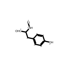 CCNC([C]=O)Cc1ccc(O)cc1